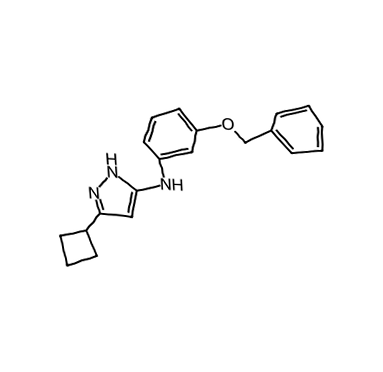 c1ccc(COc2cccc(Nc3cc(C4CCC4)n[nH]3)c2)cc1